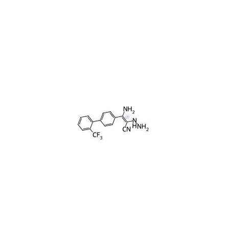 N#C/C(NN)=C(/N)c1ccc(-c2ccccc2C(F)(F)F)cc1